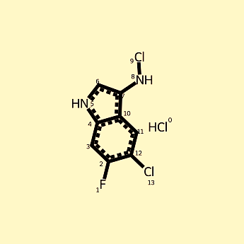 Cl.Fc1cc2[nH]cc(NCl)c2cc1Cl